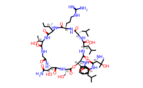 CC[C@H](C)C1NC(=O)[C@@H](CCCNC(=N)N)NC(=O)[C@H](CC(C)C)NC(=O)[C@H]([C@H](O)C(C)C)NC(=O)[C@@H](NC(=O)[C@H](CC(C)C)NC(=O)[C@H](N)C(C)(C)O)[C@@H](c2ccccc2)OC(=O)[C@H](CO)NC(=O)[C@H]([C@H](O)C(N)=O)NC(=O)CNC(=O)C([C@H](C)O)NC1=O